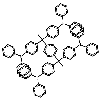 CC(c1ccc(N(c2ccccc2)c2ccccc2)cc1)(c1ccc(N(c2ccccc2)c2ccccc2)cc1)c1ccc(C(C)(c2ccc(N(c3ccccc3)c3ccccc3)cc2)c2ccc(N(c3ccccc3)c3ccccc3)cc2)cc1